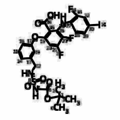 CC(C)(C)OC(=O)NS(=O)(=O)NCc1cccc(Oc2cc(F)c(F)c(Nc3ccc(I)cc3F)c2C(=O)O)c1